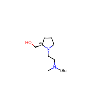 CN(CCN1CCC[C@@H]1CO)C(C)(C)C